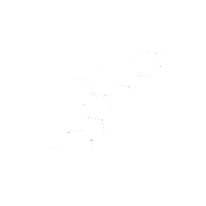 CCOC(=O)C1C(=O)Nc2cc(NC(=O)c3ccc(O)nn3)c([N+](=O)[O-])cc21